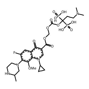 COc1c(N2CCNC(C)C2)c(F)cc2c(=O)c(C(=O)OCOC(=O)OC(CCN(C)C)(P(=O)(O)O)P(=O)(O)O)cn(C3CC3)c12